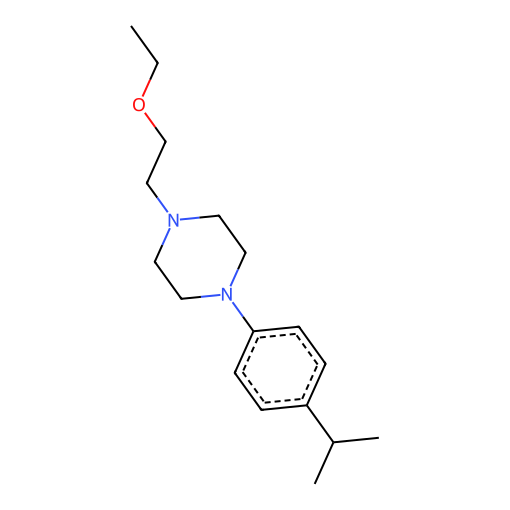 CCOCCN1CCN(c2ccc(C(C)C)cc2)CC1